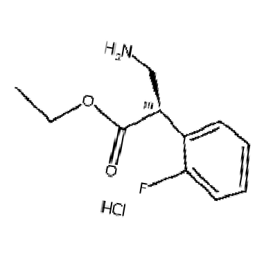 CCOC(=O)[C@@H](CN)c1ccccc1F.Cl